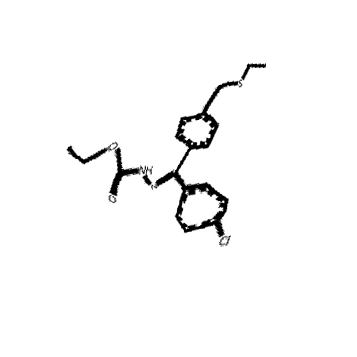 CCOC(=O)NN=C(c1ccc(Cl)cc1)c1ccc(CSCC)cc1